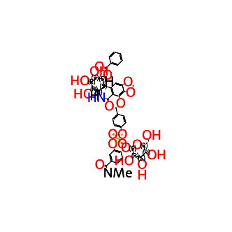 CNC(=O)c1ccc(O[C@@H]2O[C@H](CO)[C@H](O)[C@H](O)[C@H]2O)c(OS(=O)(=O)Oc2ccc(COc3c4c(cc5c3C(=O)N[C@@H]3[C@@H](O)[C@@H](O)[C@H](O)[C@@H](OC(=O)c6ccccc6)[C@@H]53)OCO4)cc2)c1